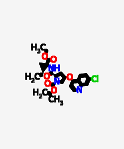 C=C[C@@H]1C[C@]1(NC(=O)[C@@H]1C[C@@H](Oc2ccnc3cc(Cl)ccc23)CN1C(=O)OC(=C)C)C(=O)OCC